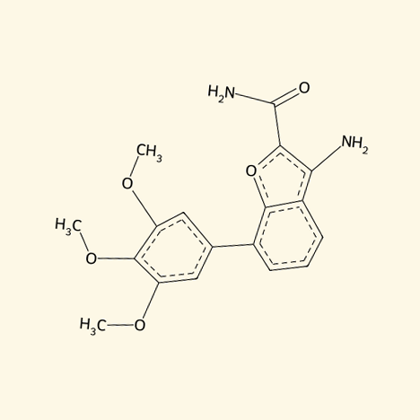 COc1cc(-c2cccc3c(N)c(C(N)=O)oc23)cc(OC)c1OC